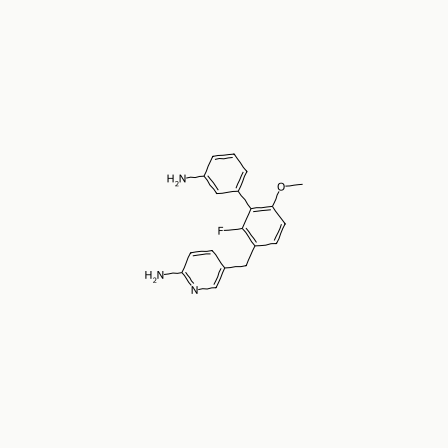 COc1ccc(Cc2ccc(N)nc2)c(F)c1-c1cccc(N)c1